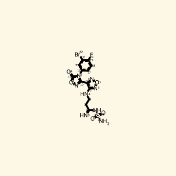 N=C(CCNc1nonc1-c1noc(=O)n1-c1ccc(F)c(Br)c1)NS(N)(=O)=O